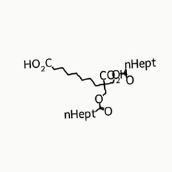 CCCCCCCC(=O)OCC(CCCCCCCC(=O)O)(COC(=O)CCCCCCC)C(=O)O